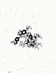 COc1cc2ncnc(Nc3ccc4[nH]ncc4c3)c2cc1NC(=O)[C@@H]1CCCN1C(=O)[C@@H](NC(=O)[C@H](C)N(C)C(=O)OC(C)(C)C)C(C)(C)C